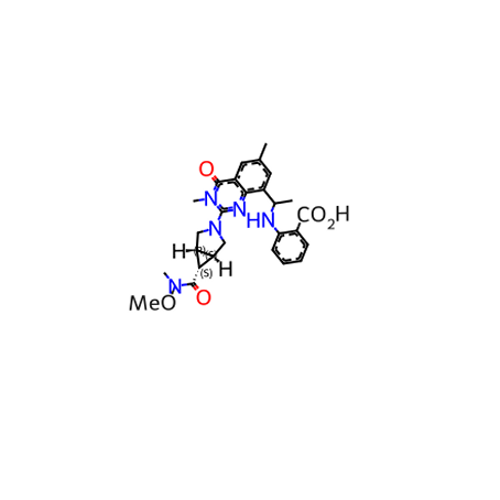 CON(C)C(=O)[C@@H]1[C@@H]2CN(c3nc4c(C(C)Nc5ccccc5C(=O)O)cc(C)cc4c(=O)n3C)C[C@@H]21